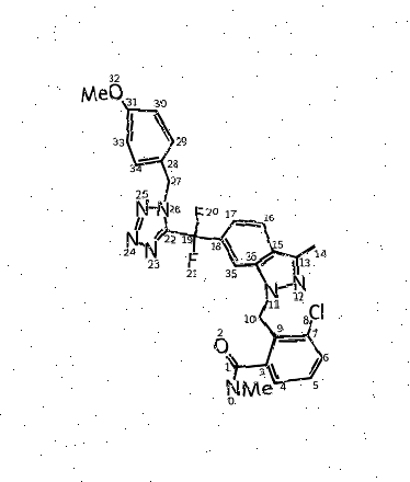 CNC(=O)c1cccc(Cl)c1Cn1nc(C)c2ccc(C(F)(F)c3nnnn3Cc3ccc(OC)cc3)cc21